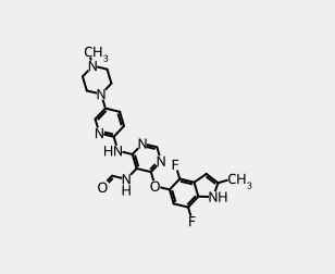 Cc1cc2c(F)c(Oc3ncnc(Nc4ccc(N5CCN(C)CC5)cn4)c3NC=O)cc(F)c2[nH]1